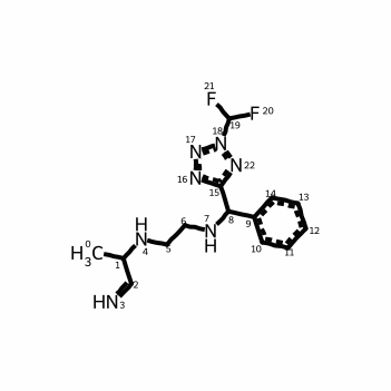 CC(C=N)NCCNC(c1ccccc1)c1nnn(C(F)F)n1